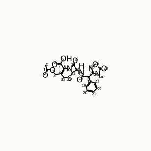 CC(=O)OCC1=C(C(=O)O)N2C(=O)[C@H](NC(=O)C(c3ccccc3)c3noc(=O)n3C)C2SC1